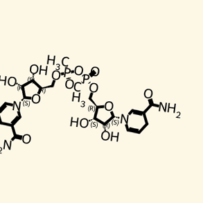 CP(=O)(OC[C@H]1O[C@H](N2C=CCC(C(N)=O)=C2)[C@H](O)[C@@H]1O)OP(C)(=O)OC[C@H]1O[C@H](N2C=CCC(C(N)=O)=C2)[C@H](O)[C@@H]1O